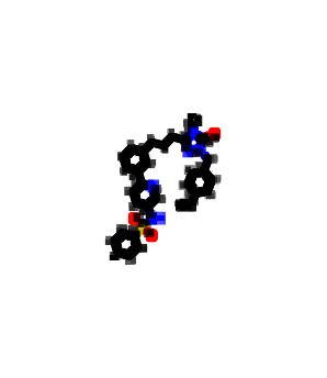 CCn1c(CCCc2cccc(-c3ccc(NS(=O)(=O)c4ccccc4)cn3)c2)nn(Cc2ccc(C(C)(C)C)cc2)c1=O